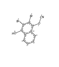 N#COc1c(Br)c(Br)c(O)c2ccccc12